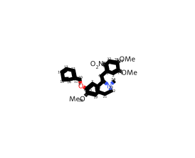 COc1cc(CC2c3cc(OCc4ccccc4)c(OC)cc3CCN2C)c([N+](=O)[O-])cc1OC